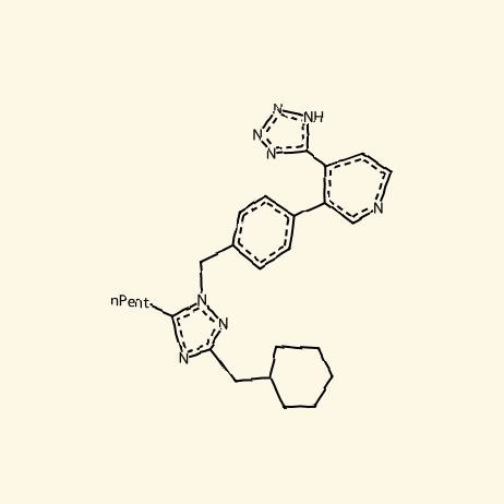 CCCCCc1nc(CC2CCCCC2)nn1Cc1ccc(-c2cnccc2-c2nnn[nH]2)cc1